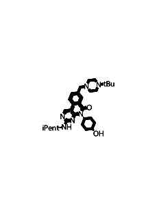 CCC[C@H](C)Nc1ncc2c3ccc(CN4CCN(C(C)(C)C)CC4)cc3c(=O)n([C@H]3CC[C@H](O)CC3)c2n1